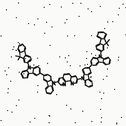 CC1(C)c2ccccc2-c2ccc(-n3c4ccccc4c4cc(-c5ccc6c(c5)c5ccccc5n6-c5cnc6c(ccc7cc(-n8c9ccccc9c9cc(-c%10ccc%11c(c%10)c%10ccccc%10n%11-c%10ccc%11c(c%10)C(C)(C)c%10ccccc%10-%11)ccc98)cnc76)c5)ccc43)cc21